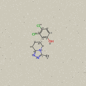 CCc1nnc2n1C[C@@H](c1c(O)ccc(Cl)c1Cl)CC2